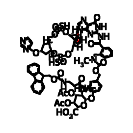 CC(=O)O[C@@H]1[C@@H](OC(C)=O)[C@H](Oc2ccc(COC(=O)N(C)Cc3ccccc3C(=O)Nc3nc4c(ncn4[C@@H]4O[C@@H]5CO[P@@](=O)(S)O[C@H]6C[C@H](Oc7ccncn7)C[C@@H]6CO[P@@](=O)(S)O[C@@H]4[C@@H]5O)c(=O)[nH]3)cc2NC(=O)CCNC(=O)OCC2c3ccccc3-c3ccccc32)O[C@H](C(=O)O)[C@H]1OC(C)=O